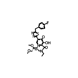 CCN1C[C@@H]([C@H](COC)OC)n2cc(-c3nnc(Cc4ccc(F)cc4)s3)c(=O)c(O)c2C1=O